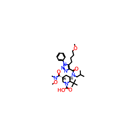 COCCCCc1c(C(=O)N(CC(C)C)[C@H]2C[C@@H](C(=O)N(C)OC)CN(C(=O)O)C2C(C)(C)C)nnn1-c1ccccc1